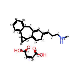 CNCCC=C1C=C2Cc3ccccc3C3CC3C2=CC1.O=C(O)/C=C\C(=O)O